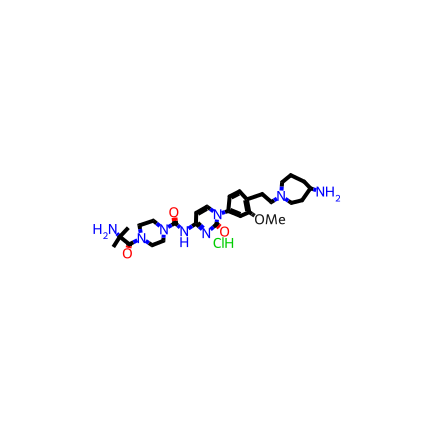 COc1cc(-n2ccc(NC(=O)N3CCN(C(=O)C(C)(C)N)CC3)nc2=O)ccc1CCN1CCCC(N)CC1.Cl